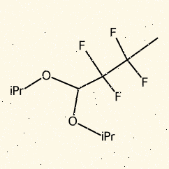 CC(C)OC(OC(C)C)C(F)(F)C(C)(F)F